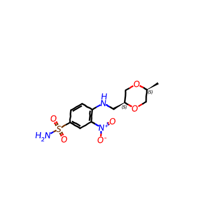 C[C@H]1CO[C@@H](CNc2ccc(S(N)(=O)=O)cc2[N+](=O)[O-])CO1